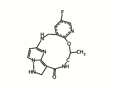 CC1CNC(=O)C2=C3N=C(C=CN3NC2)NCc2cc(F)cnc2O1